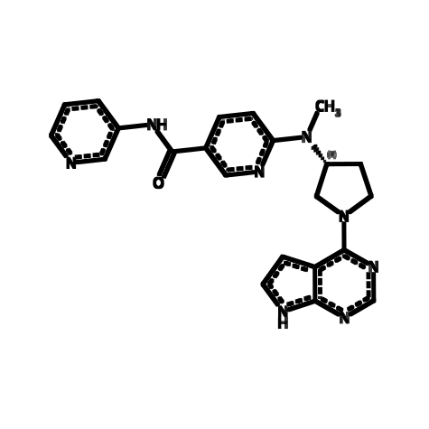 CN(c1ccc(C(=O)Nc2cccnc2)cn1)[C@@H]1CCN(c2ncnc3[nH]ccc23)C1